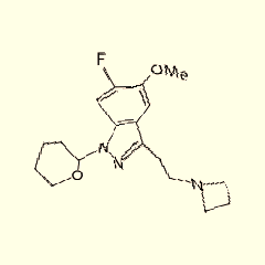 COc1cc2c(CCN3CCC3)nn(C3CCCCO3)c2cc1F